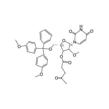 COc1ccc(C(OC[C@@H]2O[C@H](n3ccc(=O)[nH]c3=O)C(OC)C2OC(=O)CCC(C)=O)(c2ccccc2)c2ccc(OC)cc2)cc1